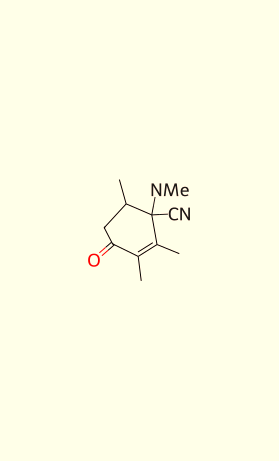 CNC1(C#N)C(C)=C(C)C(=O)CC1C